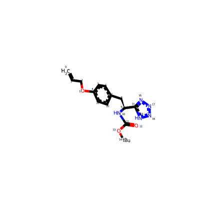 C=CCOc1ccc(C[C@H](NC(=O)OC(C)(C)C)c2nnn[nH]2)cc1